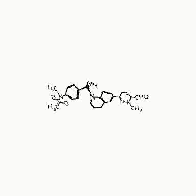 CN1N=C(c2ccc3c(c2)CCCN3C(=N)c2ccc(N(C)S(C)(=O)=O)cc2)CSC1C=O